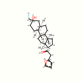 C[C@]12CC[C@H]3[C@@H](CC[C@@H]4C[C@@](O)(CF)CC[C@@H]43)[C@@H]1CC[C@@H]2C(=O)Cc1ccco1